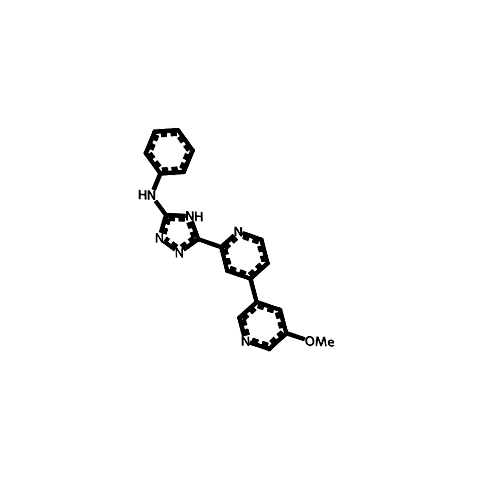 COc1cncc(-c2ccnc(-c3nnc(Nc4ccccc4)[nH]3)c2)c1